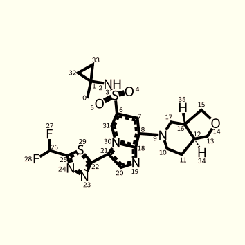 CC1(NS(=O)(=O)c2cc(N3CC[C@@H]4COC[C@H]4C3)c3ncc(-c4nnc(C(F)F)s4)n3c2)CC1